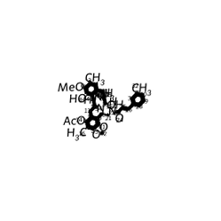 COc1c(C)cc2c(c1O)[C@@H]1C3Cc4c(OC(C)=O)c(C)c5c(c4[C@H](CNC(=O)/C=C/c4cccc(C)c4)N3[C@@H](O)[C@H](C2)N1C)OCO5